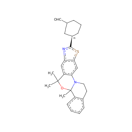 CC1(C)OC2(C)c3ccccc3CCN2c2cc3sc([C@@H]4CCCC(C=O)C4)nc3cc21